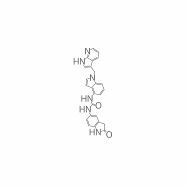 O=C1Cc2cc(NC(=O)Nc3cccc4c3ccn4Cc3c[nH]c4ncccc34)ccc2N1